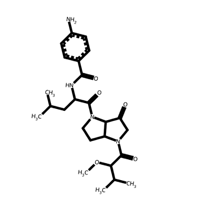 COC(C(=O)N1CC(=O)C2C1CCN2C(=O)C(CC(C)C)NC(=O)c1ccc(N)cc1)C(C)C